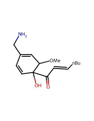 CCCCC=CC(=O)C1(O)C=CC(CN)=CC1OC